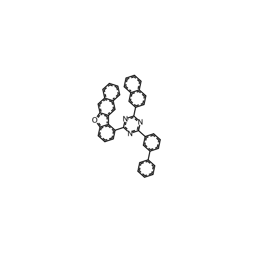 c1ccc(-c2cccc(-c3nc(-c4ccc5ccccc5c4)nc(-c4cccc5oc6cc7ccccc7cc6c45)n3)c2)cc1